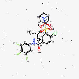 CC(C)COC(=O)N1C2CC1CC(S(=O)(=O)c1cc(C(=O)Nc3cc(F)c(F)c(F)c3)ccc1Cl)C2